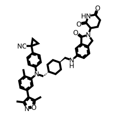 Cc1ccc(-c2c(C)noc2C)cc1N(C[C@H]1CC[C@H](CNc2ccc3c(c2)C(=O)N(C2CCC(=O)NC2=O)C3)CC1)c1ccc(C2(C#N)CC2)cc1